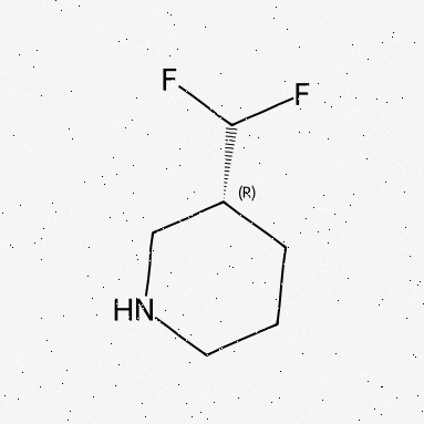 FC(F)[C@@H]1CCCNC1